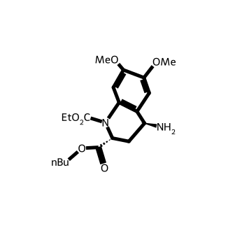 CCCCOC(=O)[C@H]1C[C@H](N)c2cc(OC)c(OC)cc2N1C(=O)OCC